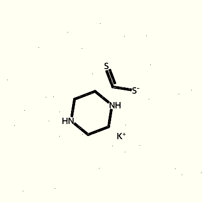 C1CNCCN1.S=C[S-].[K+]